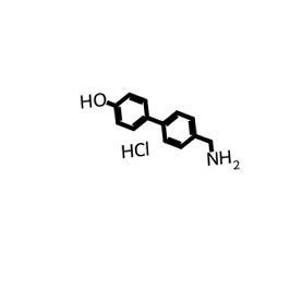 Cl.NCc1ccc(-c2ccc(O)cc2)cc1